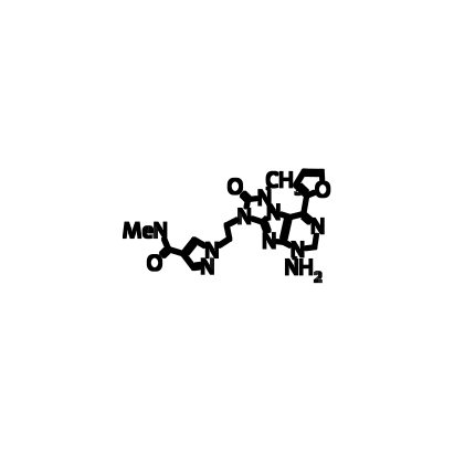 CNC(=O)c1cnn(CCn2c(=O)n(C)n3c4c(nc23)N(N)CN=C4c2ccco2)c1